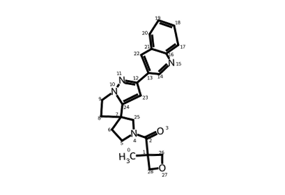 CC1(C(=O)N2CCC3(CCn4nc(-c5cnc6ccccc6c5)cc43)C2)COC1